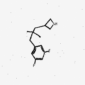 CC(C)(Cc1cc(F)cc(F)c1)CC1CNC1